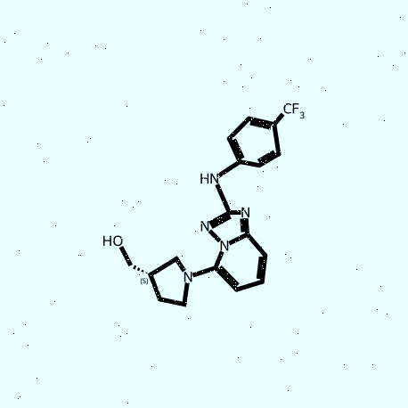 OC[C@H]1CCN(c2cccc3nc(Nc4ccc(C(F)(F)F)cc4)nn23)C1